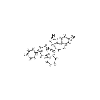 O=C([C@@H]1CNC[C@]12CCCc1cc(Br)ccc12)N1CC[C@H](c2ccccc2)C[C@@H]1C1CCCCC1